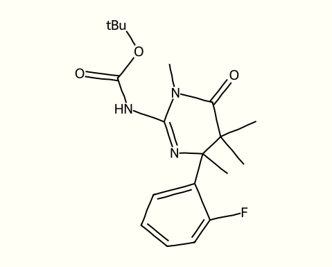 CN1C(=O)C(C)(C)C(C)(c2ccccc2F)N=C1NC(=O)OC(C)(C)C